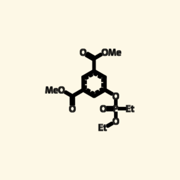 CCOP(=O)(CC)Oc1cc(C(=O)OC)cc(C(=O)OC)c1